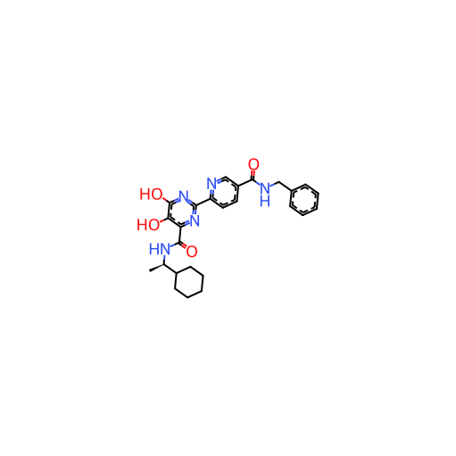 C[C@@H](NC(=O)c1nc(-c2ccc(C(=O)NCc3ccccc3)cn2)nc(O)c1O)C1CCCCC1